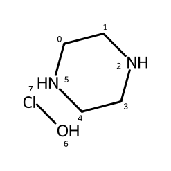 C1CNCCN1.OCl